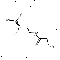 NCC(=O)NCCC(F)=C(F)F